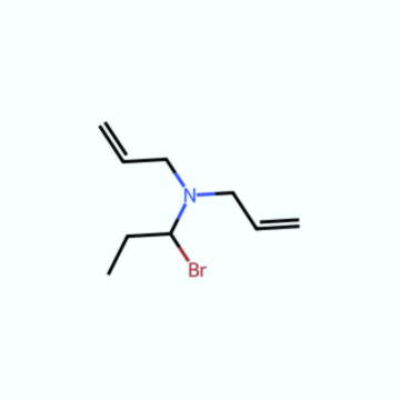 C=CCN(CC=C)C(Br)CC